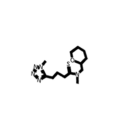 CN(CC1CCCCO1)C(=S)CCCc1nnnn1C